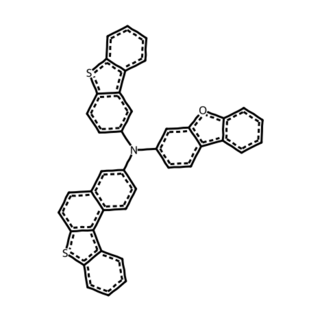 c1ccc2c(c1)oc1cc(N(c3ccc4c(ccc5sc6ccccc6c54)c3)c3ccc4sc5ccccc5c4c3)ccc12